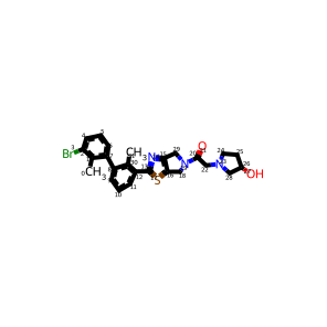 Cc1c(Br)cccc1-c1cccc(-c2nc3c(s2)CN(C(=O)CN2CCC(O)C2)C3)c1C